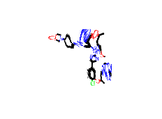 COCCC(C)Oc1nn(C2CCC(N3CCOCC3)CC2)cc1Nc1ncc(-c2ccc(Cl)c(OC(C)Cn3cncn3)c2)cn1